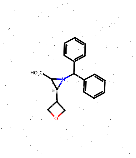 O=C(O)C1[C@H](C2COC2)N1C(c1ccccc1)c1ccccc1